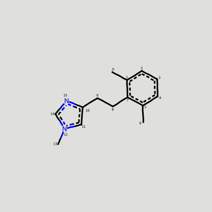 Cc1cccc(C)c1CCc1cn(C)cn1